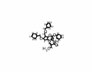 CCc1cn(C2CC(OCc3ccccc3)C(COCc3ccccc3)C2OC(=S)Oc2ccccc2)c(=O)[nH]c1=O